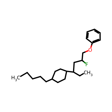 CCCCCC1CCC(C(CC)CC(F)COc2ccccc2)CC1